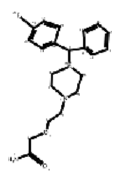 NC(=O)COCCN1CCN(C(c2ccccc2)c2ccc(F)cc2)CC1